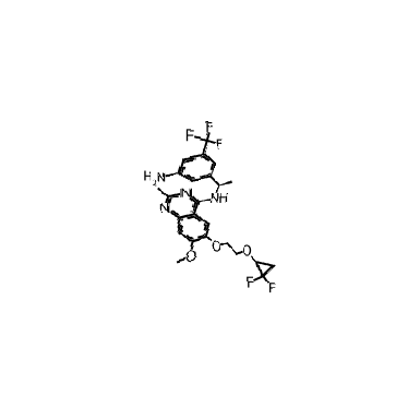 COc1cc2nc(C)nc(N[C@H](C)c3cc(N)cc(C(F)(F)F)c3)c2cc1OCCOC1CC1(F)F